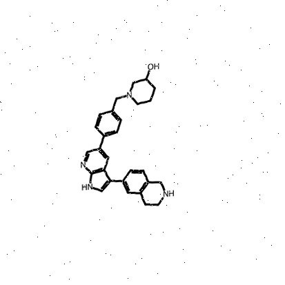 OC1CCCN(Cc2ccc(-c3cnc4[nH]cc(-c5ccc6c(c5)CCNC6)c4c3)cc2)C1